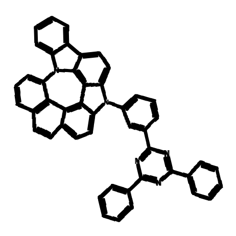 c1ccc(-c2nc(-c3ccccc3)nc(-c3cccc(-n4c5ccc6ccc7cccc8c7c6c5c5c4ccc4c6ccccc6n8c45)c3)n2)cc1